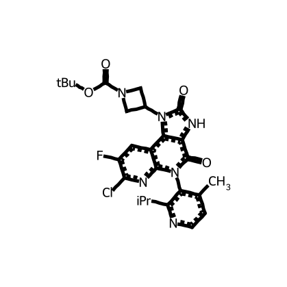 Cc1ccnc(C(C)C)c1-n1c(=O)c2[nH]c(=O)n(C3CN(C(=O)OC(C)(C)C)C3)c2c2cc(F)c(Cl)nc21